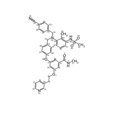 CNC(=O)c1cc(OCCc2cccnc2)cc(Oc2ccc(CN(Cc3ccc(C#N)cc3)c3cccc(NS(C)(=O)=O)c3C)cc2)c1